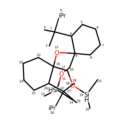 CC(C)C(C)(C)C1CCCCC1(CO[SiH](C)C)OC1(CO[SiH](C)C)CCCCC1C(C)(C)C(C)C